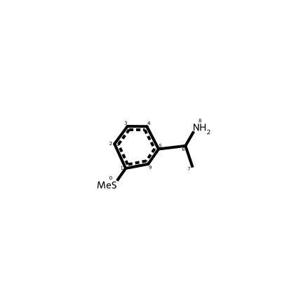 CSc1cccc(C(C)N)c1